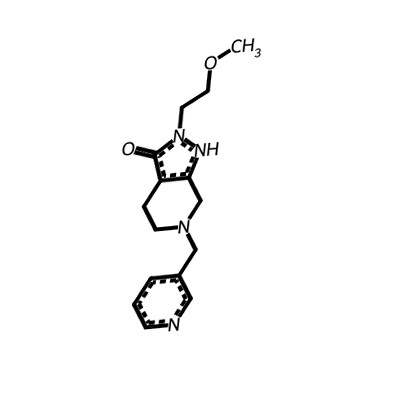 COCCn1[nH]c2c(c1=O)CCN(Cc1cccnc1)C2